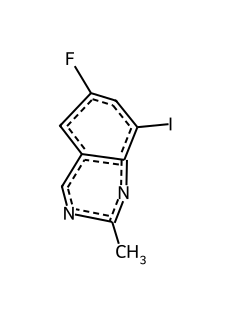 Cc1ncc2cc(F)cc(I)c2n1